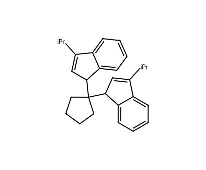 CC(C)C1=CC(C2(C3C=C(C(C)C)c4ccccc43)CCCC2)c2ccccc21